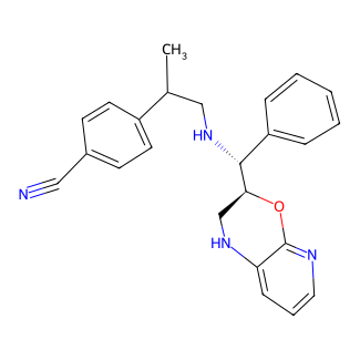 CC(CN[C@H](c1ccccc1)[C@@H]1CNc2cccnc2O1)c1ccc(C#N)cc1